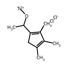 CC1=C(C)C(C)=C(C(C)[O][Ti+2])C1.[Cl-].[Cl-]